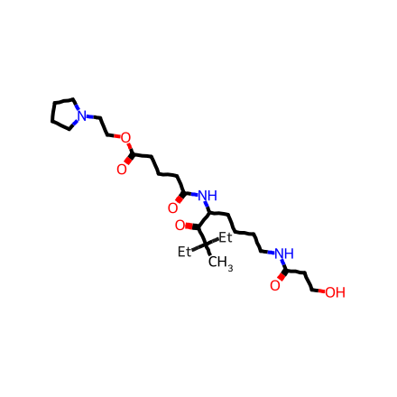 CCC(C)(CC)C(=O)C(CCCCNC(=O)CCO)NC(=O)CCCC(=O)OCCN1CCCC1